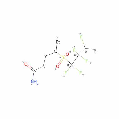 CCC(CCC(N)=O)S(=O)(=O)C(F)(F)C(F)(F)C(C)F